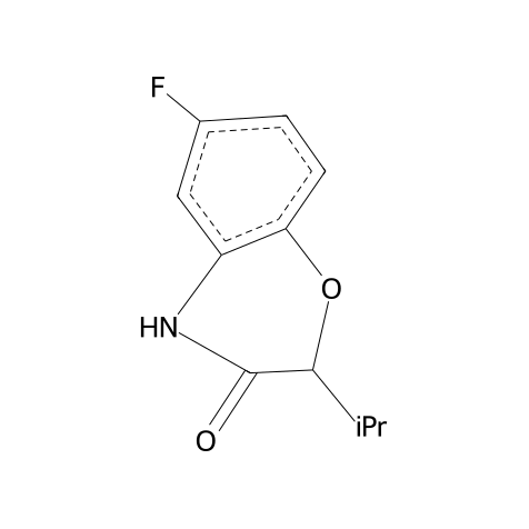 CC(C)C1Oc2ccc(F)cc2NC1=O